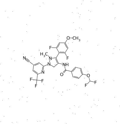 COc1cc(F)c(C2=C(NC(=O)c3ccc(OC(F)F)cc3)CN(c3cc(C#N)cc(C(F)(F)F)n3)N2C)c(F)c1